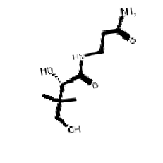 CC(C)(CO)[C@H](O)C(=O)NCCC(N)=O